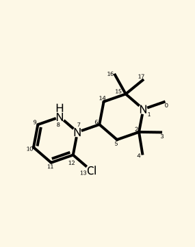 CN1C(C)(C)CC(N2NC=CC=C2Cl)CC1(C)C